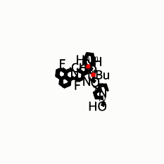 C#Cc1c(F)ccc2cccc(-c3ncc4c(N5C[C@H]6CC[C@@H](C5)N6C(=O)OC(C)(C)C)nc(OC[C@@]56CCCN5[C@H](CO)CC6)nc4c3F)c12